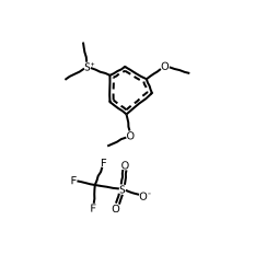 COc1cc(OC)cc([S+](C)C)c1.O=S(=O)([O-])C(F)(F)F